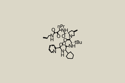 C=CCNC(=O)C(=O)C(CCC)NC(=O)[C@@H]1CC(=C)CN1C(=O)[C@@H](NC(=O)[C@@H](NC(=O)c1ccccn1)C1CCCCC1)C(C)(C)C